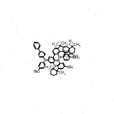 Cc1cc(C(C)(C)C)ccc1N1B2c3cc(C(C)(C)C)cc4c3N(c3cc(N(c5ccc(-c6ccccc6)cc5)c5ccc(C(C)(C)C)cc5)cc(c32)-c2ccc3c(c21)-c1cc2c(cc1C3(C)C)C(C)(C)CCC2(C)C)C1(C)CCCCC41C